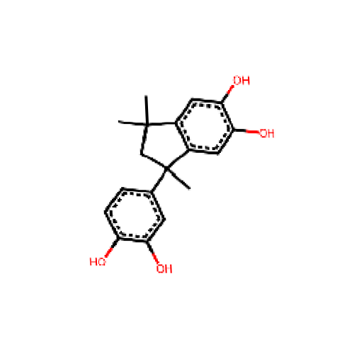 CC1(C)CC(C)(c2ccc(O)c(O)c2)c2cc(O)c(O)cc21